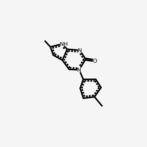 Cc1ccc(-n2cc3cc(C)[nH]c3nc2=O)cc1